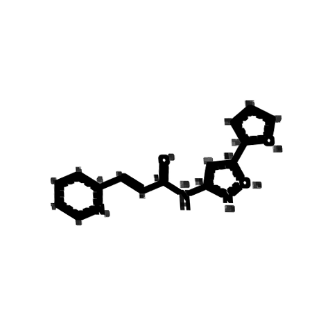 O=C(/C=C/c1ccccn1)Nc1cc(-c2ccco2)on1